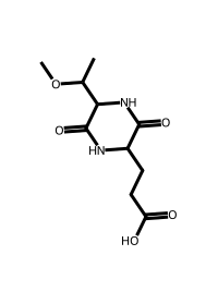 COC(C)C1NC(=O)C(CCC(=O)O)NC1=O